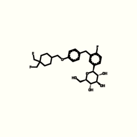 OC[C@H]1O[C@@H](c2ccc(F)c(Cc3ccc(OCC4CCC(CF)(CF)CC4)cc3)c2)[C@H](O)[C@@H](O)[C@@H]1O